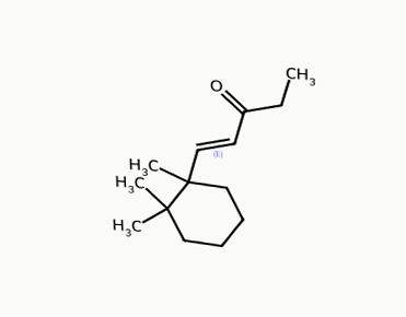 CCC(=O)/C=C/C1(C)CCCCC1(C)C